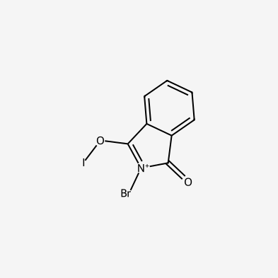 O=C1c2ccccc2C(OI)=[N+]1Br